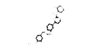 COc1ccc(Cn2nnc3cc(-c4ccnc(N[C@@H]5CCOC[C@H]5F)n4)ccc32)cc1F